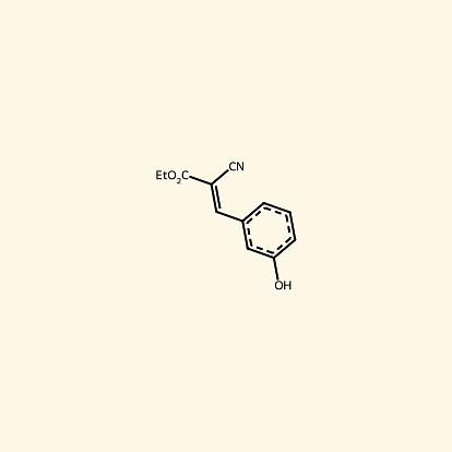 CCOC(=O)C(C#N)=Cc1cccc(O)c1